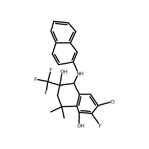 CC1(C)CC(O)(C(F)(F)F)C(Nc2ccc3ccccc3c2)c2cc(Cl)c(F)c(O)c21